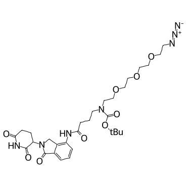 CC(C)(C)OC(=O)N(CCCC(=O)Nc1cccc2c1CN(C1CCC(=O)NC1=O)C2=O)CCOCCOCCOCCN=[N+]=[N-]